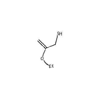 C=C(CS)OCC